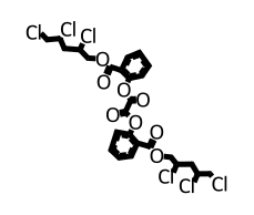 O=C(Oc1ccccc1C(=O)OCC(Cl)CC(Cl)CCl)C(=O)Oc1ccccc1C(=O)OCC(Cl)CC(Cl)CCl